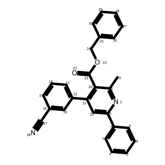 Cc1nc(-c2ccccc2)cc(-c2cccc(C#N)c2)c1C(=O)OCc1ccccc1